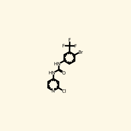 O=C(Nc1ccnc(Cl)c1)Nc1ccc(Br)c(C(F)(F)F)c1